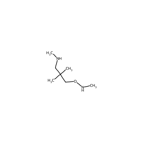 CNCC(C)(C)CONC